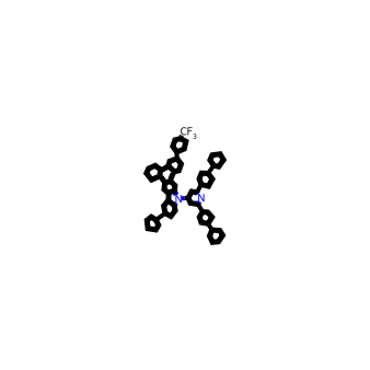 FC(F)(F)c1ccc(-c2ccc3c(c2)c2ccccc2c2cc4c5cc(-c6ccccc6)ccc5n(-c5cc(-c6ccc(-c7ccccc7)cc6)nc(-c6ccc(-c7ccccc7)cc6)c5)c4cc32)cc1